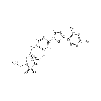 O=S1(=O)NC2(CN1CC(F)(F)F)C1CCC2Cc2cc(-c3ncc(-c4ccc(F)cc4F)s3)ccc2C1